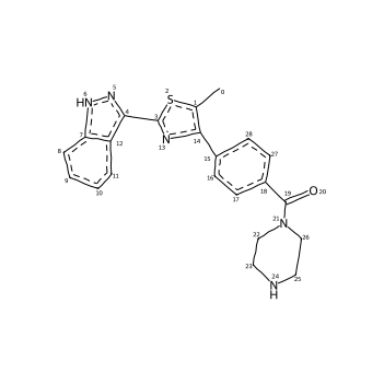 Cc1sc(-c2n[nH]c3ccccc23)nc1-c1ccc(C(=O)N2CCNCC2)cc1